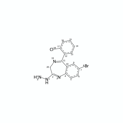 NNC1=Nc2ccc(Br)cc2C(c2ccccc2Cl)=NC1